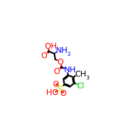 Cc1c(Cl)cc(S(=O)(=O)O)cc1NC(=O)OC[C@H](N)C(=O)O